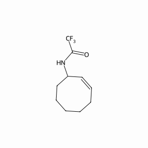 O=C(NC1/C=C\CCCCC1)C(F)(F)F